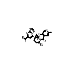 CC[C@H]1CC[C@@]2(c3cc(C(F)F)nc4ncnn34)C[C@H]2N1C(=O)c1cc(C)ncc1F